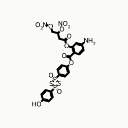 Nc1ccc(C(=O)Oc2ccc(P3(=O)SP(=O)(c4ccc(O)cc4)S3)cc2)c(OC(=O)CC(CO[N+](=O)[O-])O[N+](=O)[O-])c1